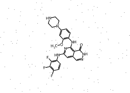 COc1cc(N2CCNCC2)ccc1Nc1nc(Nc2ccc(F)c(F)c2F)cc2cn[nH]c(=O)c12